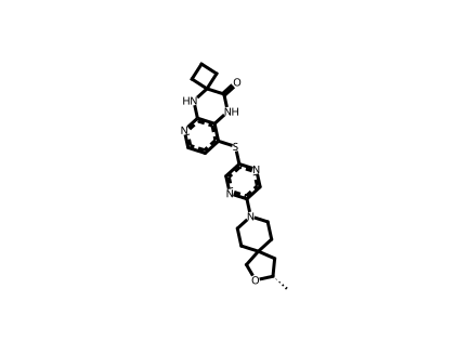 C[C@H]1CC2(CCN(c3cnc(Sc4ccnc5c4NC(=O)C4(CCC4)N5)cn3)CC2)CO1